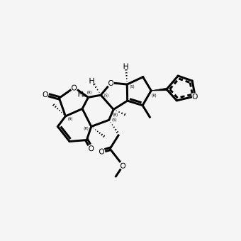 COC(=O)C[C@H]1[C@]2(C)C3=C(C)[C@H](c4ccoc4)C[C@@H]3O[C@@H]2[C@@H]2OC(=O)[C@]3(C)C=CC(=O)[C@@]1(C)C23